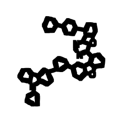 C1=NC2c3c(cccc3-c3ccc(-c4ccccc4)cc3)OC2C(c2cccc3oc4ccc(-c5cccc(-c6ccc7c(c6)c6ccccc6n7-c6ccccc6)c5)cc4c23)=N1